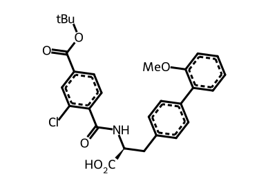 COc1ccccc1-c1ccc(C[C@H](NC(=O)c2ccc(C(=O)OC(C)(C)C)cc2Cl)C(=O)O)cc1